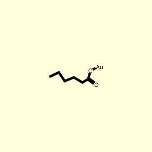 CCCCCC(=O)[O][Au]